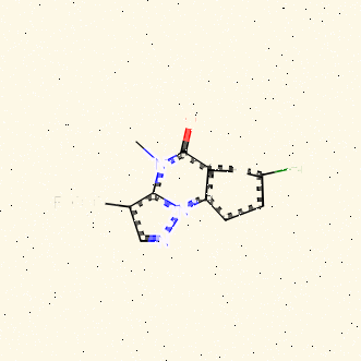 CCOC(=O)c1cnn2c3ccc(Br)cc3c(=O)n(C)c12